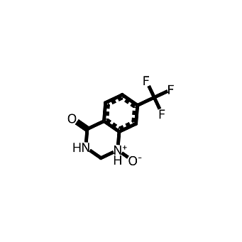 O=C1NC[NH+]([O-])c2cc(C(F)(F)F)ccc21